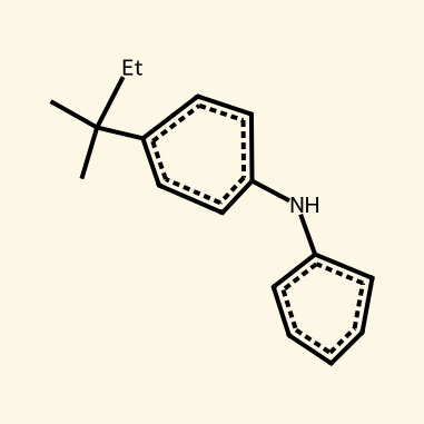 CCC(C)(C)c1ccc(Nc2ccccc2)cc1